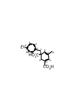 CCc1ccc(CC2(C(=O)O)C=C(C)C=C(C(=O)O)C2)cc1